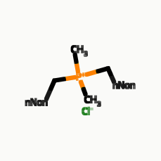 CCCCCCCCCC[P+](C)(C)CCCCCCCCCC.[Cl-]